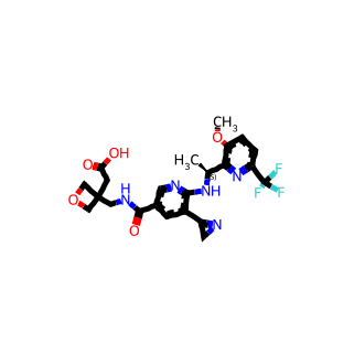 COc1ccc(C(F)(F)F)nc1[C@H](C)Nc1ncc(C(=O)NCC2(CC(=O)O)COC2)cc1C1=NC1